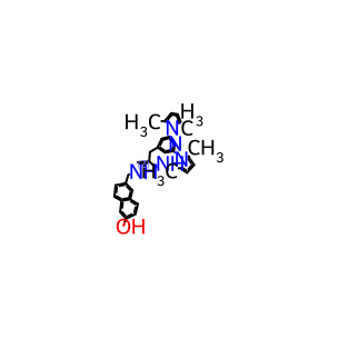 Cc1ccc(C)n1-c1cc(C/C(C=N)=C/NCc2ccc3cc(O)ccc3c2)cc(-n2c(C)ccc2C)n1